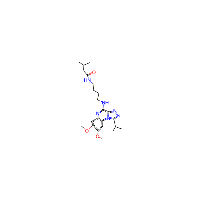 COc1cc2nc(NCCCCNC(=O)CC(C)C)c3nnc(C(C)C)n3c2cc1OC